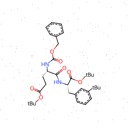 CC(C)(C)OC(=O)CC[C@H](NC(=O)OCc1ccccc1)C(=O)N[C@@H](Cc1cccc(C(C)(C)C)c1)C(=O)OC(C)(C)C